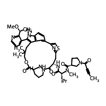 CC#CC(=O)N1CC[C@H](C(=O)N(C)[C@H](C(=O)N[C@H]2Cc3nc(cs3)-c3ccc4c(c3)c(c(-c3cccnc3[C@H](C)OC)n4C(C)=O)CC(C)(C)COC(=O)[C@@H]3CCCN(N3)C2=O)C(C)C)C1